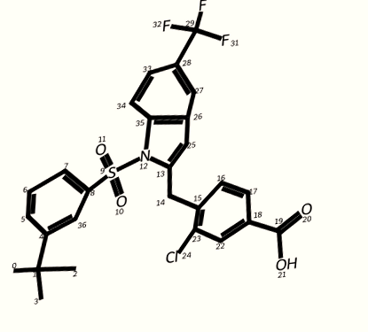 CC(C)(C)c1cccc(S(=O)(=O)n2c(Cc3ccc(C(=O)O)cc3Cl)cc3cc(C(F)(F)F)ccc32)c1